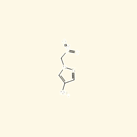 Nc1cnn(C[SH](=O)=O)c1